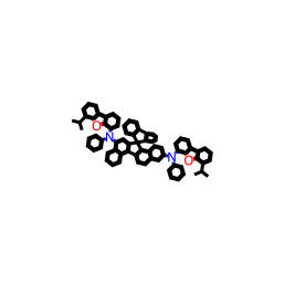 CC(C)c1cccc2c1oc1c(N(c3ccccc3)c3ccc4c5c(ccc4c3)-c3c(cc(N(c4ccccc4)c4cccc6c4oc4c(C(C)C)cccc46)c4ccccc34)C53c4ccccc4-c4ccccc43)cccc12